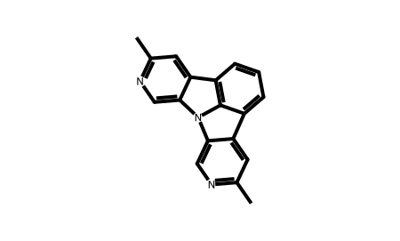 Cc1cc2c3cccc4c5cc(C)ncc5n(c2cn1)c34